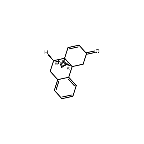 O=C1C=CC2(O)[C@H]3Cc4ccccc4[C@@]2(CCN3)C1